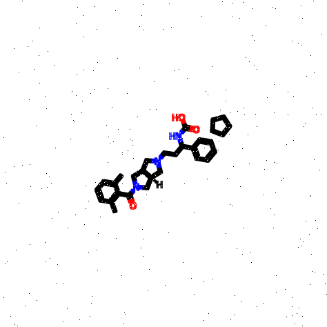 C1CCCC1.Cc1cccc(C)c1C(=O)N1CC2CN(CCC(NC(=O)O)c3ccccc3)C[C@H]2C1